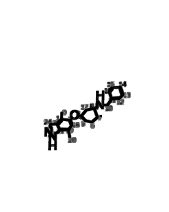 Cc1c(OC2CCCC(NCc3ccccc3)C2)cc(C)c2[nH]ncc12